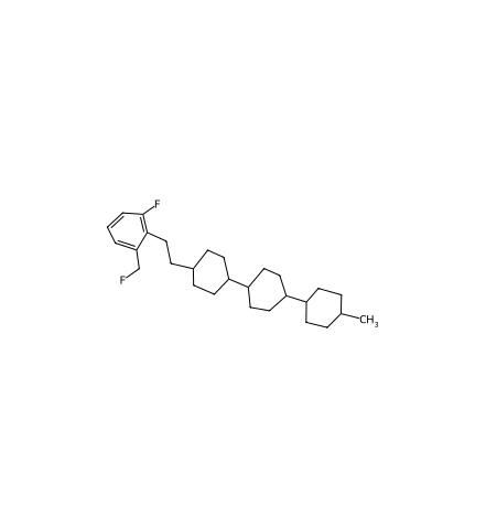 CC1CCC(C2CCC(C3CCC(CCc4c(F)cccc4CF)CC3)CC2)CC1